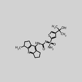 CC1CCc2c1nc1c(c2NC(=O)N=S(N)(=O)c2cc(C(C)(C)O)cs2)CCC1